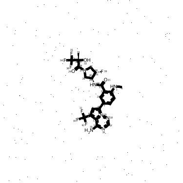 CNc1ccc(-c2cc(C(F)(F)F)c3c(N)ncnn23)cc1C(=O)N[C@@H]1CN(C(=O)[C@@](C)(O)C(F)(F)F)C[C@@H]1F